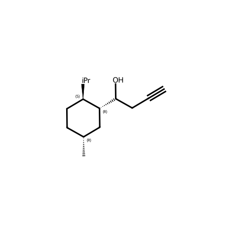 C#CCC(O)[C@@H]1C[C@H](C)CC[C@H]1C(C)C